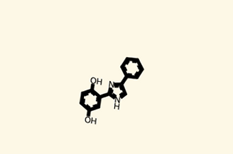 Oc1ccc(O)c(-c2nc(-c3ccccc3)c[nH]2)c1